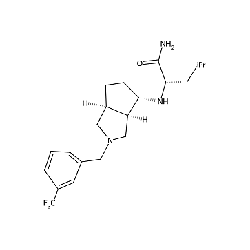 CC(C)C[C@H](N[C@H]1CC[C@@H]2CN(Cc3cccc(C(F)(F)F)c3)C[C@@H]21)C(N)=O